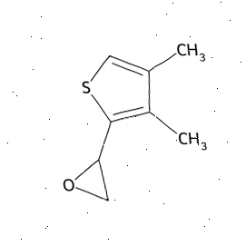 Cc1csc(C2CO2)c1C